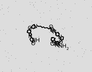 Nc1nnc(-c2ccccc2O)cc1OC1CCCN(c2ccc(N3CCN(C(=O)CCCCCCCCN4CCC(Oc5ccc6c(c5)CN(C5CCC(=O)NC5)C6)CC4)CC3)cc2)C1